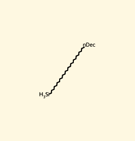 CCCCCCCCCCCCCCCCCCCCCCCCCCCCCCCCCCC[SiH3]